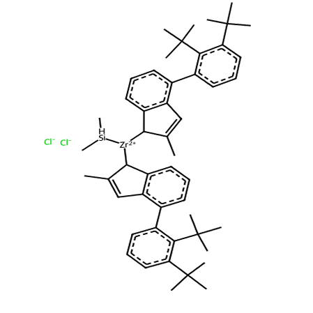 CC1=Cc2c(-c3cccc(C(C)(C)C)c3C(C)(C)C)cccc2[CH]1[Zr+2]([CH]1C(C)=Cc2c(-c3cccc(C(C)(C)C)c3C(C)(C)C)cccc21)[SiH](C)C.[Cl-].[Cl-]